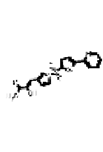 NC(=O)/C(O)=C/c1ccn(S(=O)(=O)c2ccc(-c3ccccn3)s2)c1